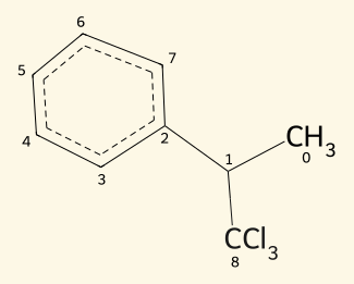 CC(c1ccccc1)C(Cl)(Cl)Cl